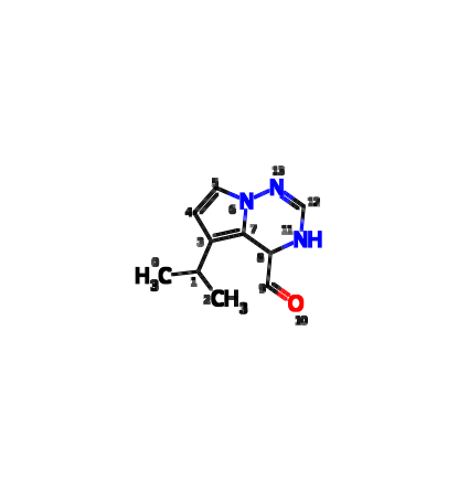 CC(C)c1ccn2c1C(C=O)NC=N2